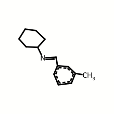 Cc1cccc(/C=N/C2CCCCC2)c1